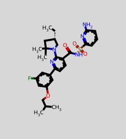 CC[C@@H]1CN(c2nc(-c3cc(F)cc(OCC(C)C)c3)ccc2C(=O)NS(=O)(=O)c2cccc(N)n2)C(C)(C)C1